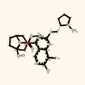 CN1CCC[C@H]1COc1nc(N2CC3CCC(C=O)(C2)N3C(=O)OC(C)(C)C)c2cnc(Cl)c(F)c2n1